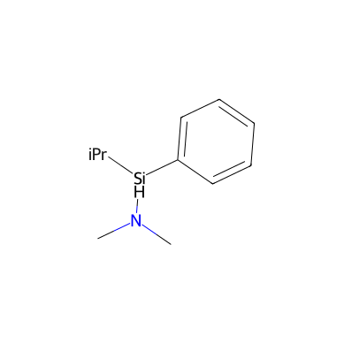 CC(C)[SiH](c1ccccc1)N(C)C